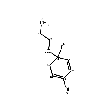 CCCOC1(F)C=CC(O)=CC1